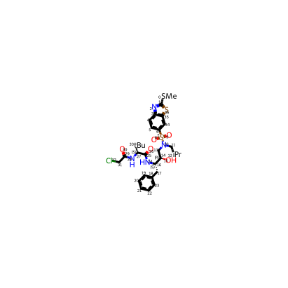 CSc1nc2ccc(S(=O)(=O)N(CC(C)C)C[C@@H](O)[C@H](Cc3ccccc3)NC(=O)[C@@H](NC(=O)CCl)C(C)(C)C)cc2s1